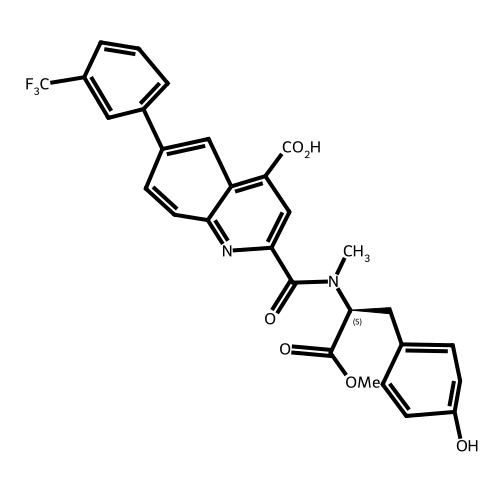 COC(=O)[C@H](Cc1ccc(O)cc1)N(C)C(=O)c1cc(C(=O)O)c2cc(-c3cccc(C(F)(F)F)c3)ccc2n1